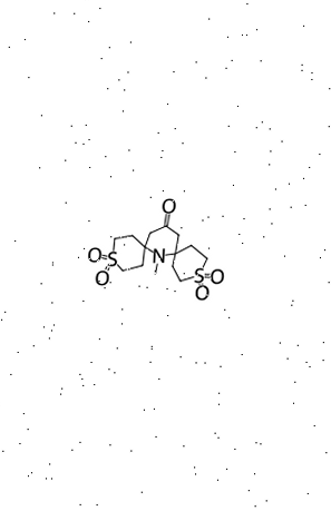 CN1C2(CCS(=O)(=O)CC2)CC(=O)CC12CCS(=O)(=O)CC2